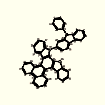 c1ccc(-n2c3ccccc3c3ccc(-n4c5ccccc5c5c6c7ccccc7c7ccccc7c6c6c7ccccc7oc6c54)cc32)cc1